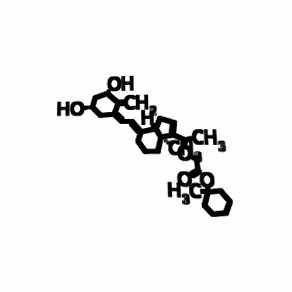 C=C1/C(=C\C=C2/CCC[C@]3(C)C(C(C)OCC(=O)OC4(C)CCCCC4)=CC[C@@H]23)C[C@@H](O)C[C@@H]1O